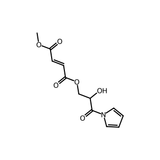 COC(=O)/C=C/C(=O)OCC(O)C(=O)n1cccc1